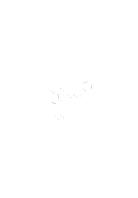 CN1CC(C(=O)/N=C(\NC2CCCC2)NC2CC(c3cc(F)cc(F)c3)NN2)C(C(F)(F)F)N1